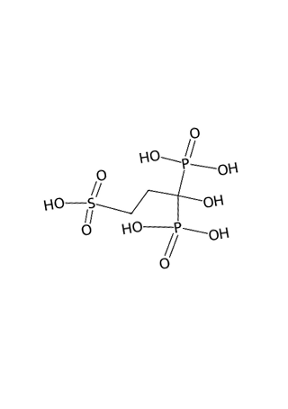 O=P(O)(O)C(O)(CCS(=O)(=O)O)P(=O)(O)O